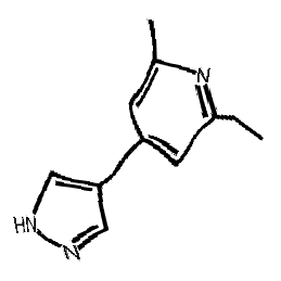 Cc1cc(-c2cn[nH]c2)cc(C)n1